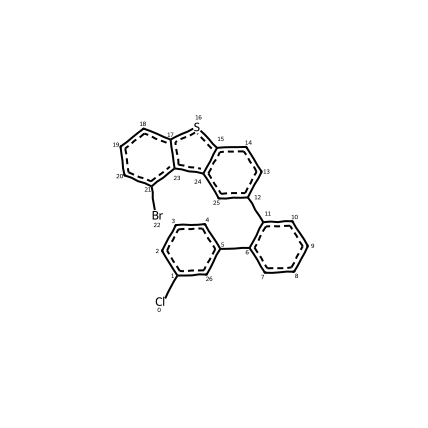 Clc1cccc(-c2ccccc2-c2ccc3sc4cccc(Br)c4c3c2)c1